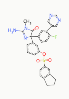 CN1C(=O)C(c2cccc(OS(=O)(=O)c3ccc4c(c3)CCC4)c2)(c2ccc(F)c(-c3cncnc3)c2)N=C1N